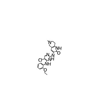 CCOc1ccccc1Nc1nc(Nc2cc3c([nH]c2=O)CCN(C)C3)ncc1Cl